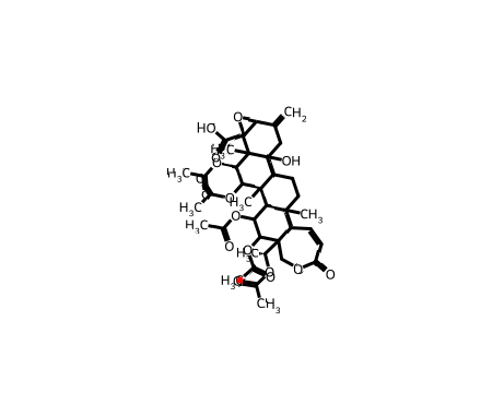 C=C1CC2(O)C3CCC4(C)C(C(OC(C)=O)C(OC(C)=O)C5([C@@H](C)OC(C)=O)COC(=O)C=CC45)C3(C)C(OC(C)=O)C(OC(C)=O)C2(C)C2(C(=O)O)OC12